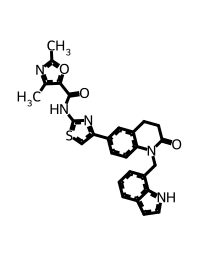 Cc1nc(C)c(C(=O)Nc2nc(-c3ccc4c(c3)CCC(=O)N4Cc3cccc4cc[nH]c34)cs2)o1